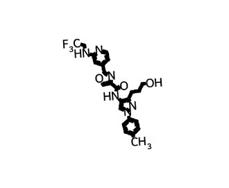 Cc1ccc(-n2cc(NC(=O)c3coc(-c4ccnc(NCC(F)(F)F)c4)n3)c(CCCO)n2)cc1